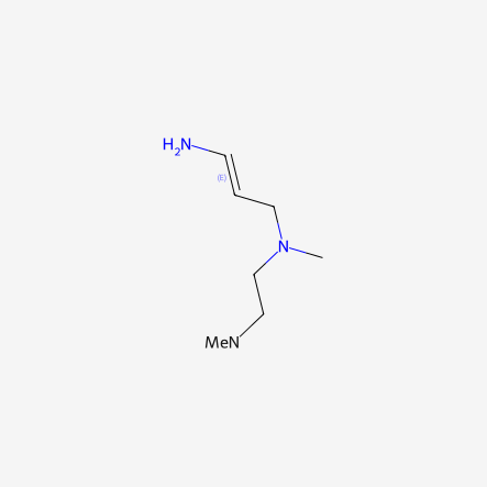 CNCCN(C)C/C=C/N